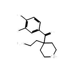 CC(C)(C)CCC1(C(=O)c2ccc(Cl)c(Cl)c2)CCNCC1